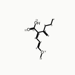 C=C(CCC)/C(=C\C=C\OC)C(=O)O